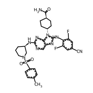 Cc1ccc(S(=O)(=O)N2CCC[C@@H](Nc3ncc4nc(Nc5c(F)cc(C#N)cc5F)n([C@H]5CC[C@H](C(N)=O)CC5)c4n3)C2)cc1